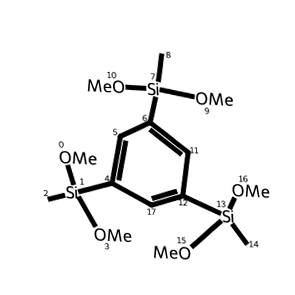 CO[Si](C)(OC)c1cc([Si](C)(OC)OC)cc([Si](C)(OC)OC)c1